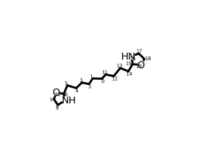 C(CCCCCC1NCCO1)CCCCC1NCCO1